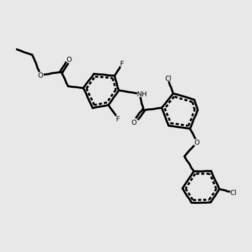 CCOC(=O)Cc1cc(F)c(NC(=O)c2cc(OCc3cccc(Cl)c3)ccc2Cl)c(F)c1